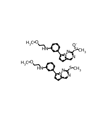 COCCNc1cccc(-c2ccc3cnc(SC)nn23)c1.COCCNc1cccc(-c2ccc3cnc([S+](C)[O-])nn23)c1